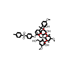 COc1ccc(C(C)(C)c2ccc(Oc3ccc(S(=O)(=O)c4ccc(C)cc4)cc3)c(C[PH](c3c(CO)cc(OC)cc3CO)(c3c(CO)cc(OC)cc3OC)c3c(OC)cc(CO)cc3OC)c2)cc1